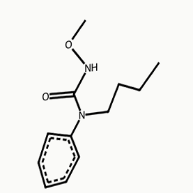 CCCCN(C(=O)NOC)c1ccccc1